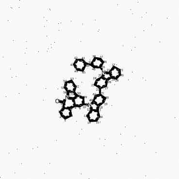 O=c1c2ccccc2c2cc(-n3c4ccccc4c4ccc(-c5ccc6c(c5)c5ccccc5n6-c5cccc(-c6ccccc6)c5)cc43)cc3c4ccccc4n1c23